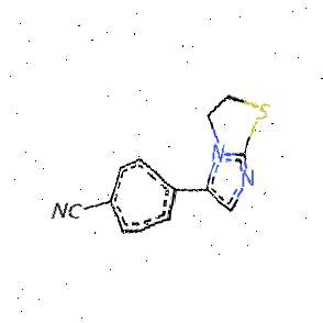 N#Cc1ccc(-c2cnc3n2CCS3)cc1